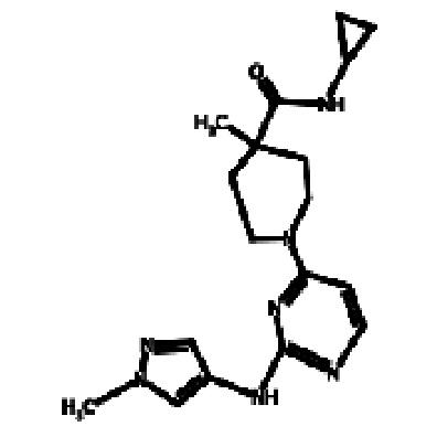 Cn1cc(Nc2nccc(N3CCC(C)(C(=O)NC4CC4)CC3)n2)cn1